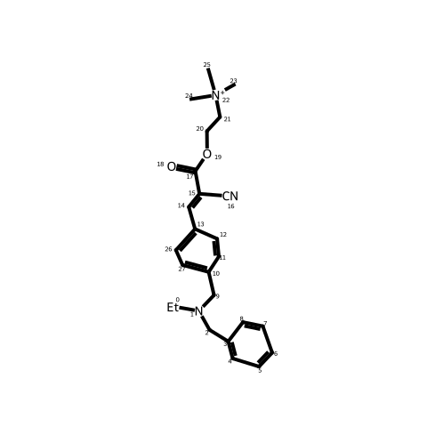 CCN(Cc1ccccc1)Cc1ccc(/C=C(\C#N)C(=O)OCC[N+](C)(C)C)cc1